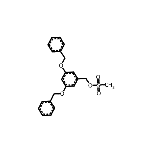 CS(=O)(=O)OCc1cc(OCc2ccccc2)cc(OCc2ccccc2)c1